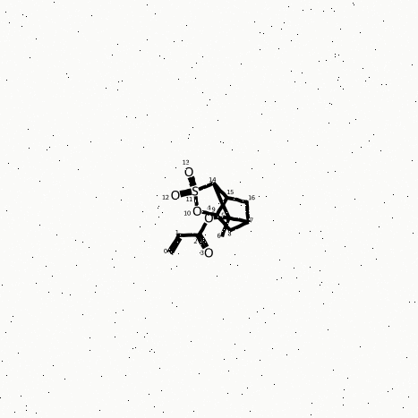 C=CC(=O)OC1(C)C2CC3OS(=O)(=O)C1C3C2